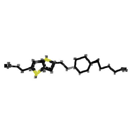 CCCCC[C@H]1CC[C@H](CCc2cc3sc(CCC)cc3s2)CC1